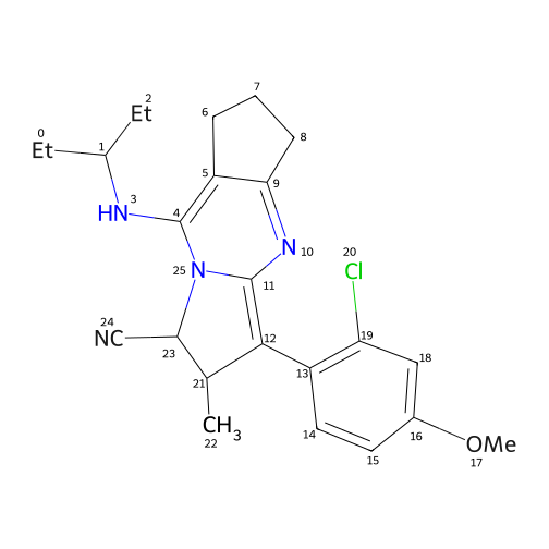 CCC(CC)NC1=C2CCCC2=NC2=C(c3ccc(OC)cc3Cl)C(C)C(C#N)N21